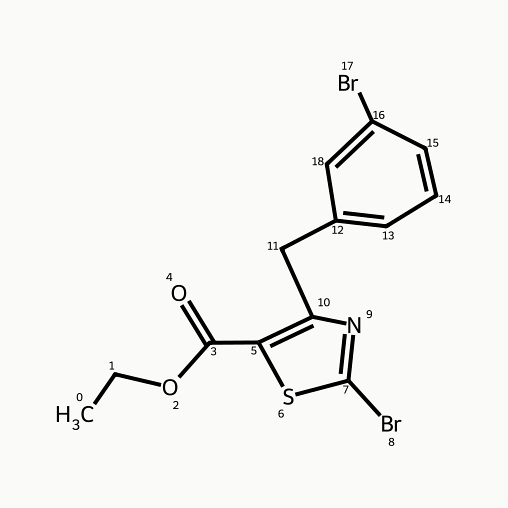 CCOC(=O)c1sc(Br)nc1Cc1cccc(Br)c1